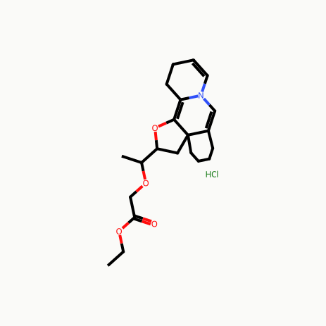 CCOC(=O)COC(C)C1CC23CCCCC2=CN2C=CCCC2=C3O1.Cl